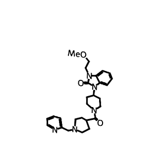 COCCn1c(=O)n(C2CCN(C(=O)C3CCN(Cc4ccccn4)CC3)CC2)c2ccccc21